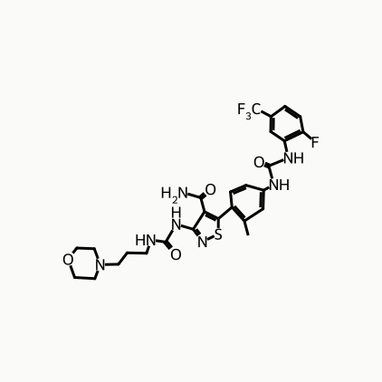 Cc1cc(NC(=O)Nc2cc(C(F)(F)F)ccc2F)ccc1-c1snc(NC(=O)NCCCN2CCOCC2)c1C(N)=O